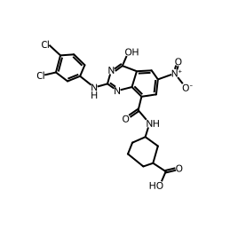 O=C(NC1CCCC(C(=O)O)C1)c1cc([N+](=O)[O-])cc2c(O)nc(Nc3ccc(Cl)c(Cl)c3)nc12